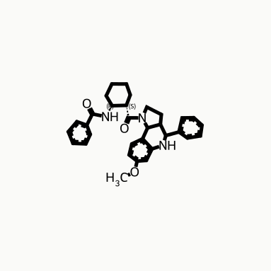 COc1ccc2c(c1)NC(c1ccccc1)C1CCN(C(=O)[C@H]3CCCC[C@H]3NC(=O)c3ccccc3)C21